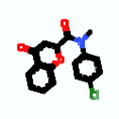 CN(C(=O)c1cc(=O)c2ccccc2o1)c1ccc(Cl)cc1